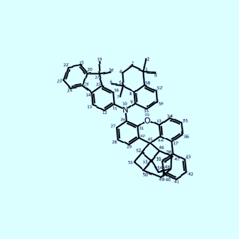 CC1(C)CCC(C)(C)c2c(N(c3ccc4c(c3)C(C)(C)c3ccccc3-4)c3cccc4c3Oc3cccc(-c5ccccc5)c3C43C4CC5CC6CC3C64C5)cccc21